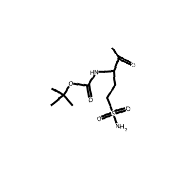 CC(=O)C(CCS(N)(=O)=O)NC(=O)OC(C)(C)C